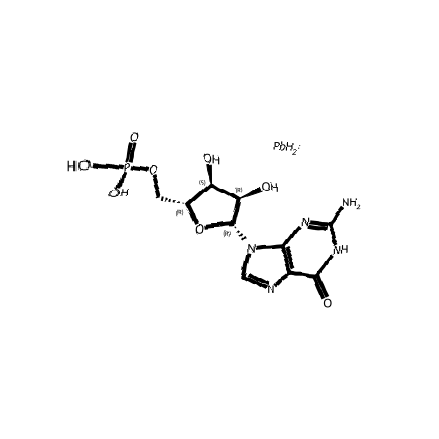 Nc1nc2c(ncn2[C@@H]2O[C@H](COP(=O)(O)O)[C@@H](O)[C@H]2O)c(=O)[nH]1.[PbH2]